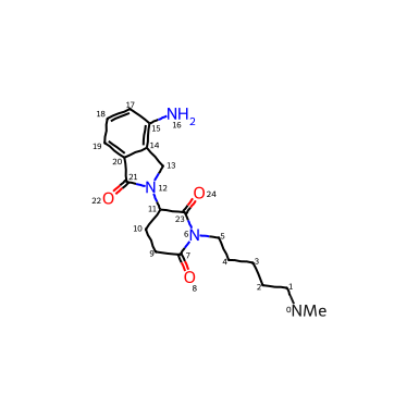 CNCCCCCN1C(=O)CCC(N2Cc3c(N)cccc3C2=O)C1=O